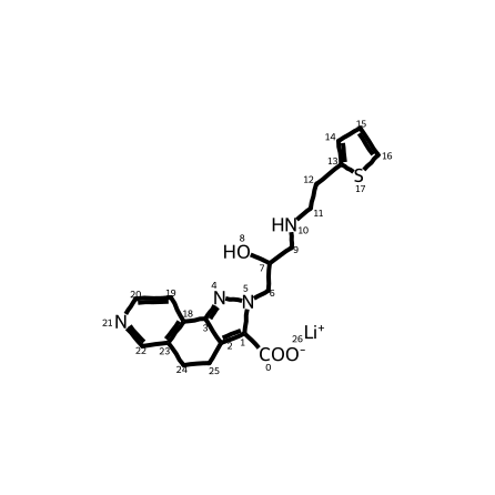 O=C([O-])c1c2c(nn1CC(O)CNCCc1cccs1)-c1ccncc1CC2.[Li+]